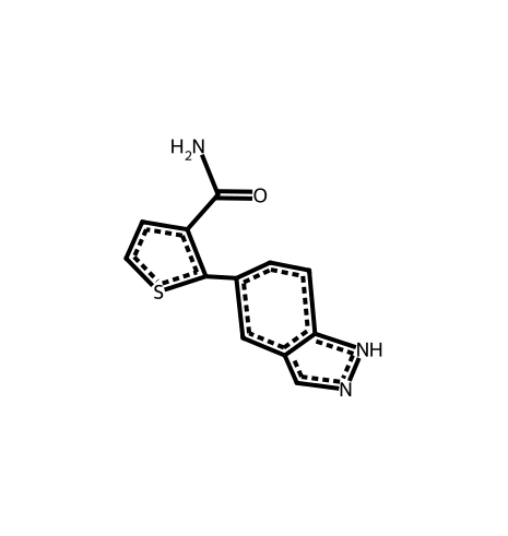 NC(=O)c1ccsc1-c1ccc2[nH]ncc2c1